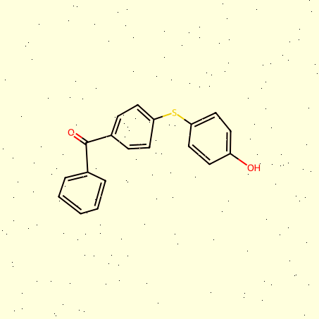 O=C(c1ccccc1)c1ccc(Sc2ccc(O)cc2)cc1